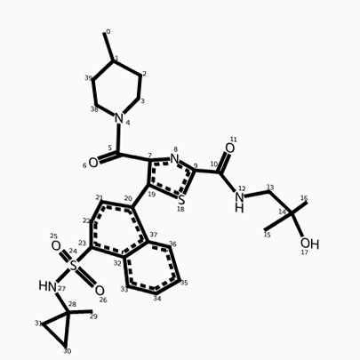 CC1CCN(C(=O)c2nc(C(=O)NCC(C)(C)O)sc2-c2ccc(S(=O)(=O)NC3(C)CC3)c3ccccc23)CC1